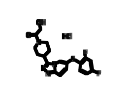 Cl.O=C(CO)N1CCC(c2nnc3ccc(Sc4ccc(F)cc4F)cn23)CC1